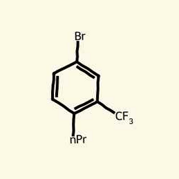 C[CH]Cc1ccc(Br)cc1C(F)(F)F